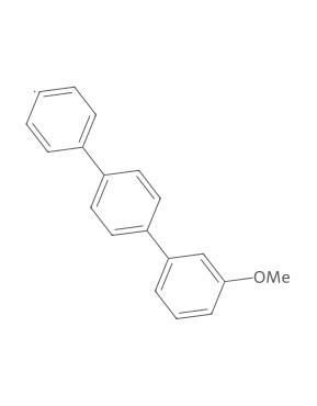 COc1cccc(-c2ccc(-c3cc[c]cc3)cc2)c1